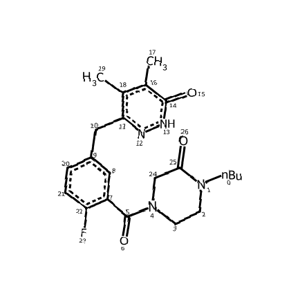 CCCCN1CCN(C(=O)c2cc(Cc3n[nH]c(=O)c(C)c3C)ccc2F)CC1=O